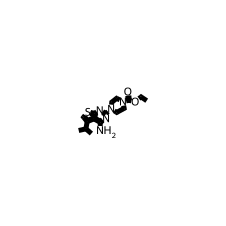 CCOC(=O)N1CCN(c2nc(N)c3c(C(C)C)csc3n2)CC1